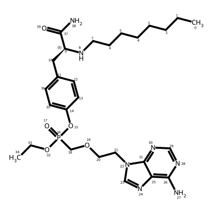 CCCCCCCCN[C@@H](Cc1ccc(OP(=O)(COCCn2cnc3c(N)ncnc32)OCC)cc1)C(N)=O